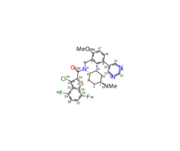 CN[C@H]1CC[C@H](N(Cc2cc(-c3cncnc3)ccc2OC)C(=O)c2sc3c(F)ccc(F)c3c2Cl)CC1